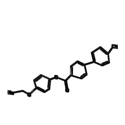 CCC(C)COc1ccc(OC(=O)c2ccc(-c3ccc(C#N)cc3)cc2)cc1